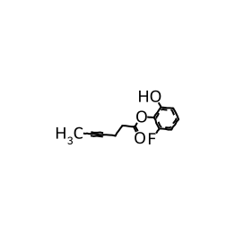 CC#CCCC(=O)Oc1c(O)cccc1F